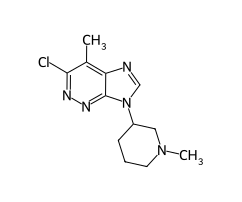 Cc1c(Cl)nnc2c1ncn2C1CCCN(C)C1